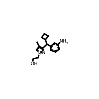 Cc1cn(CCO)nc1C(c1cccc(N)c1)C1CCC1